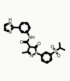 CC1=NN(c2cccc(S(=O)(=O)C(C)C)c2)C(=O)C1C(=O)Nc1cccc(-c2ncc[nH]2)c1